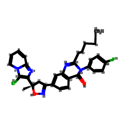 C[C@]1(c2nc3ccccn3c2Cl)CC(c2ccc3c(=O)n(-c4ccc(F)cc4)c(CCCCC(=O)O)nc3c2)=NO1